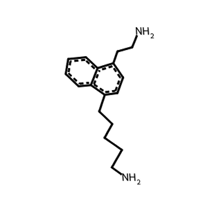 NCCCCCc1ccc(CCN)c2ccccc12